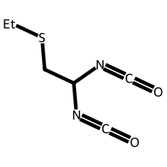 CCSCC(N=C=O)N=C=O